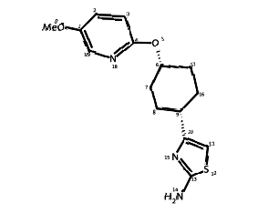 COc1ccc(O[C@H]2CC[C@@H](c3csc(N)n3)CC2)nc1